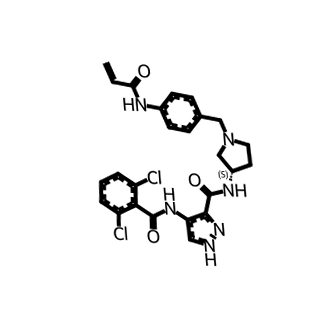 C=CC(=O)Nc1ccc(CN2CC[C@H](NC(=O)c3n[nH]cc3NC(=O)c3c(Cl)cccc3Cl)C2)cc1